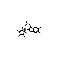 CC1=C(C)[C](C)([Hf][C]2=Cc3cc(C)c(C)cc3C2CC(C)C)C(C)=C1C